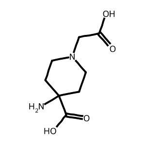 NC1(C(=O)O)CCN(CC(=O)O)CC1